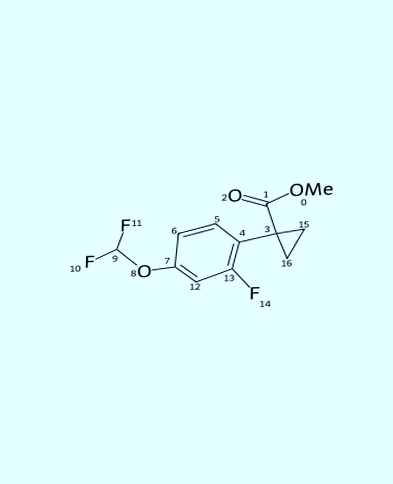 COC(=O)C1(c2ccc(OC(F)F)cc2F)CC1